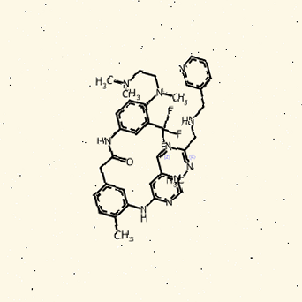 C/N=C(CNCc1cccnc1)\N=C/c1cc(Nc2cc(CC(=O)Nc3ccc(N(C)CCN(C)C)c(C(F)(F)F)c3)ccc2C)ncn1